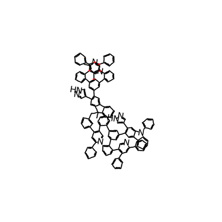 Cc1cc(-c2ccccc2)ncc1-c1ccccc1-c1cc(-c2cc3c(cc2-c2cn[nH]c2)C(C)(Cc2cccc(-c4cc(-c5ccccc5)ncc4-c4ccccc4-c4cc(-c5cc6c7ccccc7n(-c7ccccc7)c6cc5-c5cn[nH]c5)cc(-c5ccccc5-c5cnc(-c6ccccc6)cc5-c5ccccc5)c4)c2)c2ccccc2-3)cc(-c2ccccc2-c2cnc(-c3ccccc3)cc2C)c1